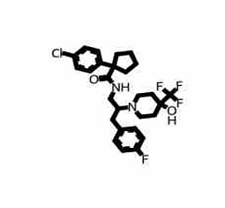 O=C(NCC(Cc1ccc(F)cc1)N1CCC(O)(C(F)(F)F)CC1)C1(c2ccc(Cl)cc2)CCCC1